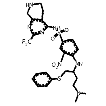 CN(C)CCC(CSc1ccccc1)Nc1ccc(S(=O)(=O)Nc2nc(C(F)(F)F)nc3c2CCNC3)cc1[N+](=O)[O-]